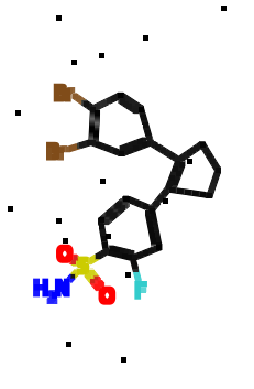 NS(=O)(=O)c1ccc(C2=C(c3ccc(Br)c(Br)c3)CCC2)cc1F